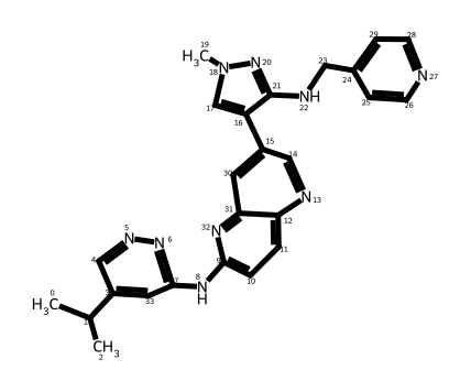 CC(C)c1cnnc(Nc2ccc3ncc(-c4cn(C)nc4NCc4ccncc4)cc3n2)c1